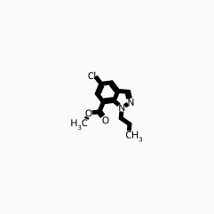 CCCn1ncc2cc(Cl)cc(C(=O)OC)c21